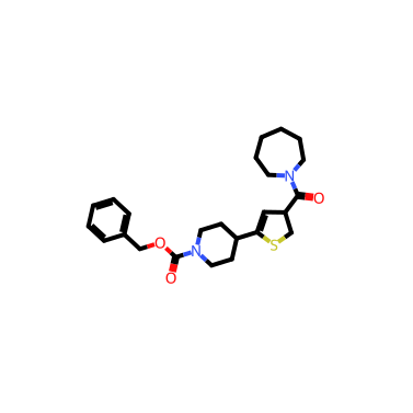 O=C(OCc1ccccc1)N1CCC(C2=CC(C(=O)N3CCCCCC3)CS2)CC1